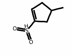 CC1CC=C([SH](=O)=O)C1